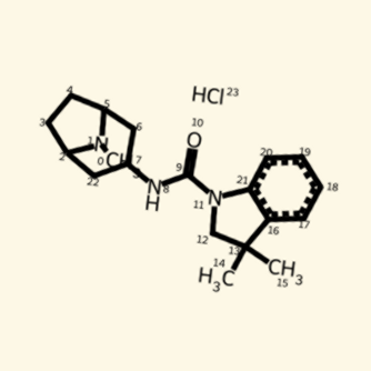 CN1C2CCC1CC(NC(=O)N1CC(C)(C)c3ccccc31)C2.Cl